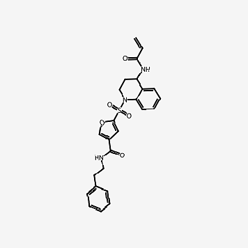 C=CC(=O)NC1CCN(S(=O)(=O)c2cc(C(=O)NCCc3ccccc3)co2)c2ccccc21